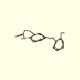 O=C1CCc2cc(Cc3ccccc3O)ccc2N1